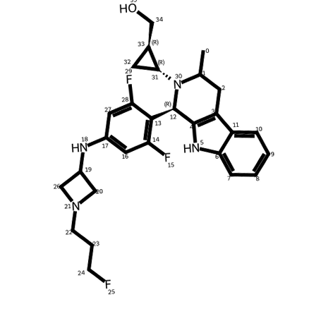 CC1Cc2c([nH]c3ccccc23)[C@@H](c2c(F)cc(NC3CN(CCCF)C3)cc2F)N1[C@@H]1C[C@H]1CO